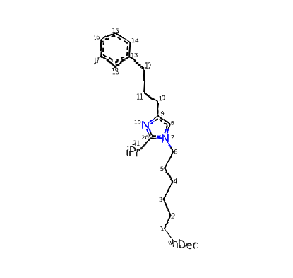 CCCCCCCCCCCCCCCCn1cc(CCCc2ccccc2)nc1C(C)C